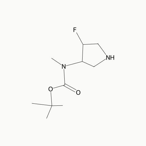 CN(C(=O)OC(C)(C)C)C1CNCC1F